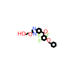 O=C(c1ccc2ncc(OCCO)nc2c1)c1c(F)c(F)cc(OCc2ccccc2)c1F